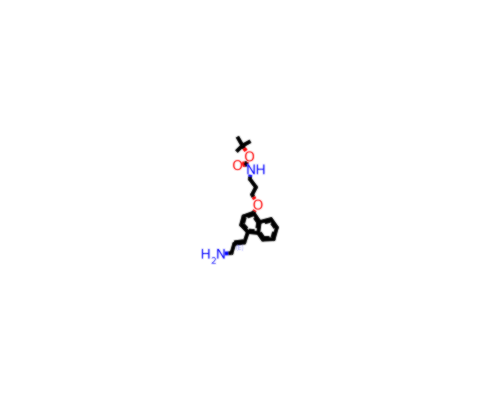 CC(C)(C)OC(=O)NCCCOc1ccc(/C=C/CN)c2ccccc12